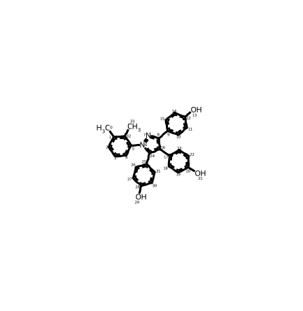 Cc1cccc(-n2nc(-c3ccc(O)cc3)c(-c3ccc(O)cc3)c2-c2ccc(O)cc2)c1C